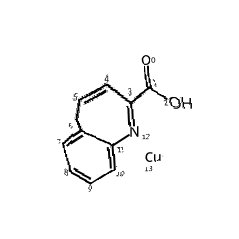 O=C(O)c1ccc2ccccc2n1.[Cu]